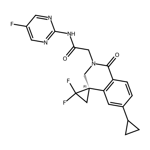 O=C(CN1C[C@@]2(CC2(F)F)c2cc(C3CC3)ccc2C1=O)Nc1ncc(F)cn1